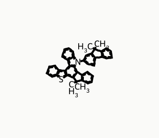 CC1(C)c2ccccc2-c2ccc(-n3c4ccccc4c4c5c(sc6ccccc65)c5c(c43)-c3ccccc3C5(C)C)cc21